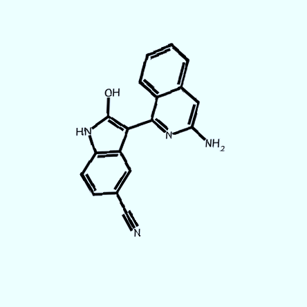 N#Cc1ccc2[nH]c(O)c(-c3nc(N)cc4ccccc34)c2c1